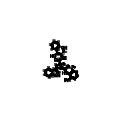 CC(C)c1cccc(C(C)C)c1NC(=O)NC(C)(Cc1c[nH]c2ccccc12)C(=O)N[C@@H](CO)[C@@H](O)c1ccccc1